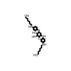 CCCC1=C(O)/C(=N\c2ccc(NCCCCCCO)cc2)C=C(Nc2ccc(NCCCCCCO)cc2)C1=O